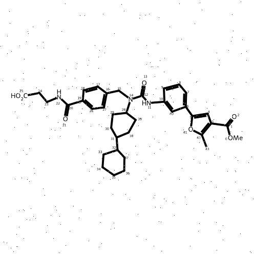 COC(=O)c1cc(-c2cccc(NC(=O)N(Cc3ccc(C(=O)NCCC(=O)O)cc3)C3CCC(C4CCCCC4)CC3)c2)oc1C